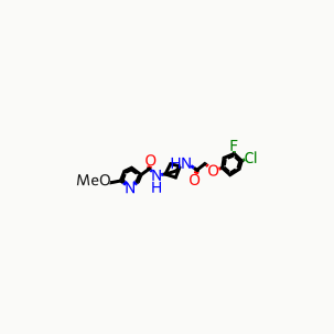 COCc1ccc(C(=O)NC23CC(NC(=O)COc4ccc(Cl)c(F)c4)(C2)C3)cn1